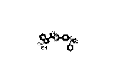 O=S(O)c1ccc(-c2cnn3cc(-c4ccc(OC5(CN6CCCCC6)COC5)cc4)cnc23)c2ccccc12